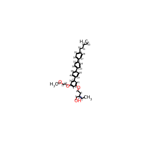 C/C=C(/CO)CCOc1cc(OCCOC)cc(-c2ccc(-c3ccc(-c4ccc(CCCCC)cc4)cc3)cc2)c1